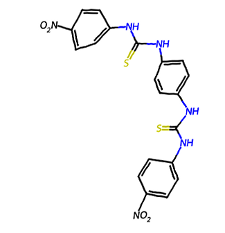 O=[N+]([O-])c1ccc(NC(=S)Nc2ccc(NC(=S)Nc3ccc([N+](=O)[O-])cc3)cc2)cc1